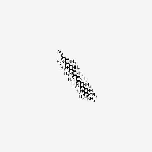 CC(=O)CCC(CN)CC(CN)CC(CN)CC(CN)CC(CN)CC(CN)CC(CN)CC(CN)CC(CN)CC(CN)CC(CN)CC(CN)CC(CN)CC(C)CN